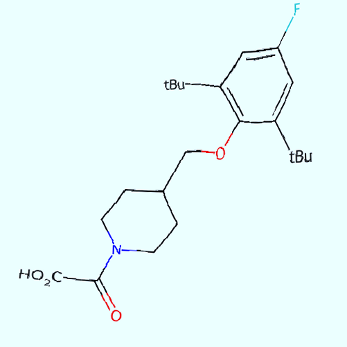 CC(C)(C)c1cc(F)cc(C(C)(C)C)c1OCC1CCN(C(=O)C(=O)O)CC1